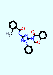 Cc1ccccc1C(=O)Nc1nc(N2COc3ccccc3C2=O)n(-c2ccccc2)n1